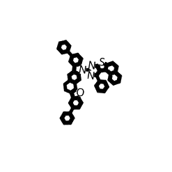 c1ccc(-c2ccc3oc4c(c3c2)CCc2cc3c5cc(-c6ccccc6)ccc5n(-c5nc(-c6ccccc6)c6c(n5)sc5ccc7ccccc7c56)c3cc2-4)cc1